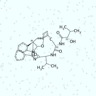 CC(C)C1NC(=O)[C@@H](NC(=O)[C@@H](O)C(C)C)Cc2ccc3c(c2)[C@@]2(c4ccccc4NC2O3)c2oc1nc2-c1ccccc1